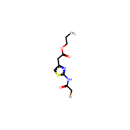 CCCOC(=O)Cc1csc(NC(=O)CBr)n1